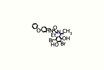 C/C=C(\N=C(/CC)C(=O)NCC1=CCC(Oc2ccccc2)C=C1)c1cc(Br)c(O)c(Br)c1O